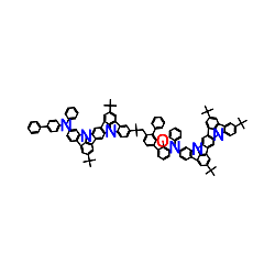 CC(C)(C)c1ccc2c(c1)c1cc(C(C)(C)C)cc3c4cc5c(cc4n2c13)c1cc(C(C)(C)C)cc2c3ccc(N(c4ccccc4)c4cccc6c4oc4c(-c7ccccc7)c(CC(C)(C)c7ccc8c(c7)c7cc(C(C)(C)C)cc9c%10cc%11c(cc%10n8c79)c7cc(C(C)(C)C)cc8c9ccc(N(c%10ccccc%10)c%10ccc(-c%12ccccc%12)cc%10)cc9n%11c87)ccc46)cc3n5c21